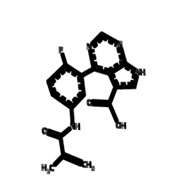 C=C(C)C(=O)Nc1ccc(F)c(-c2ncnc3[nH]cc(C(=O)O)c23)c1